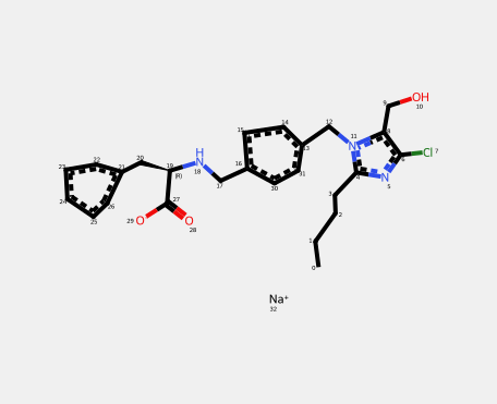 CCCCc1nc(Cl)c(CO)n1Cc1ccc(CN[C@H](Cc2ccccc2)C(=O)[O-])cc1.[Na+]